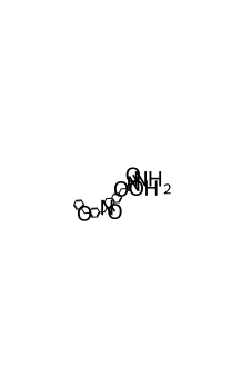 NC(=O)N(O)CCOc1ccc2c(c1)CCN(Cc1ccc(Oc3ccccc3)cc1)C2=O